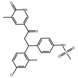 Cc1cc(Cl)ccc1C(CC(=O)c1c[nH]c(=O)c(C)c1)c1ccc(NS(C)(=O)=O)cc1